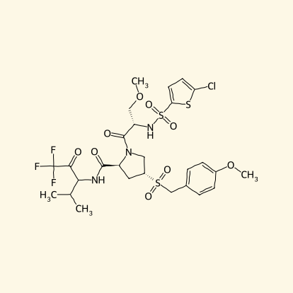 COC[C@H](NS(=O)(=O)c1ccc(Cl)s1)C(=O)N1C[C@H](S(=O)(=O)Cc2ccc(OC)cc2)C[C@H]1C(=O)NC(C(=O)C(F)(F)F)C(C)C